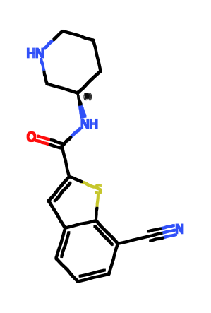 N#Cc1cccc2cc(C(=O)N[C@@H]3CCCNC3)sc12